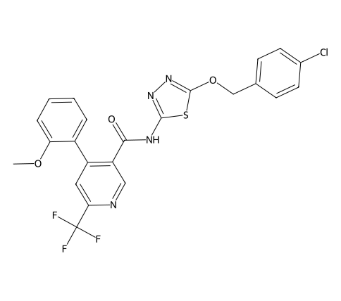 COc1ccccc1-c1cc(C(F)(F)F)ncc1C(=O)Nc1nnc(OCc2ccc(Cl)cc2)s1